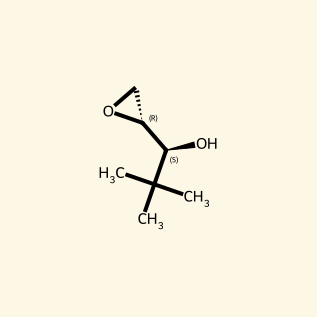 CC(C)(C)[C@H](O)[C@H]1CO1